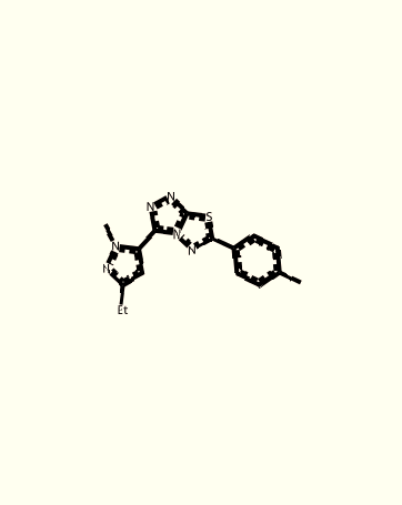 CCc1cc(-c2nnc3sc(-c4ccc(C)cc4)nn23)n(C)n1